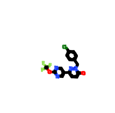 O=c1ccc(-c2cnc(OC(F)(F)F)nc2)nn1Cc1ccc(Cl)cc1